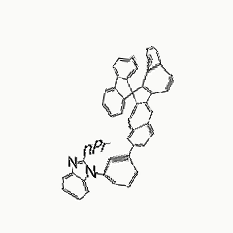 CCCc1nc2ccccc2n1-c1cccc(-c2ccc3cc4c(cc3c2)C2(c3ccccc3-c3ccccc32)c2c-4ccc3ccccc23)c1